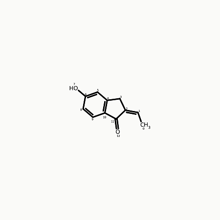 CC=C1Cc2cc(O)ccc2C1=O